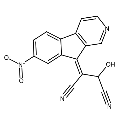 N#CC(=C1c2cnccc2-c2ccc([N+](=O)[O-])cc21)C(O)C#N